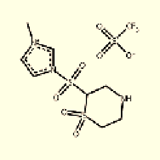 C[n+]1ccn(S(=O)(=O)C2CNCCS2(=O)=O)c1.O=S(=O)([O-])C(F)(F)F